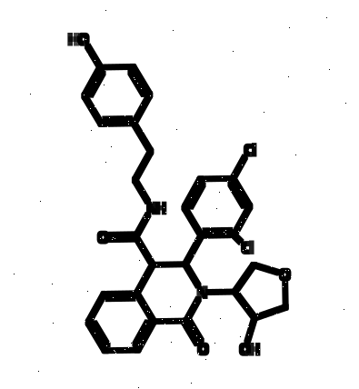 O=C(NCCc1ccc(O)cc1)C1c2ccccc2C(=O)N(C2COCC2O)C1c1ccc(Cl)cc1Cl